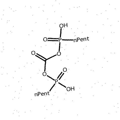 CCCCCP(=O)(O)OC(=O)OP(=O)(O)CCCCC